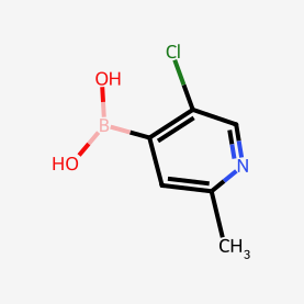 Cc1cc(B(O)O)c(Cl)cn1